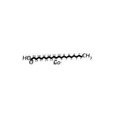 CCCCCCCCCCCCCCCCCCCCCC(=O)O.[Co]